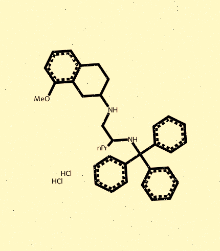 CCCC(CNC1CCc2cccc(OC)c2C1)NC(c1ccccc1)(c1ccccc1)c1ccccc1.Cl.Cl